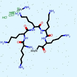 CCCN.CNCC(=O)C(CCCCN)NC(=O)C(CCCCN)NC(=O)C(CCCCN)NC(=O)C(CCCCN)NC(=O)C(N)CCCCN.Cl.Cl.Cl.Cl.Cl